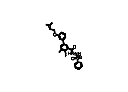 Cc1cc(-c2cccc(OCCN(C)C)c2)cc(C(=O)NNS(=O)(=O)c2ccccc2)c1F